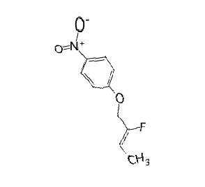 CC=C(F)COc1ccc([N+](=O)[O-])cc1